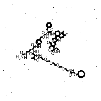 CC[C@@]1(O)C(=O)OCc2c1cc1n(c2=O)Cc2c-1nc1cc(F)c(C)c3c1c2[C@@H](NC(=O)[C@H](Cc1ccccc1)NC(=O)OCc1ccc(NC(=O)[C@H](CCCNC(N)=O)NC(=O)[C@@H](NC(=O)CCOCCOCCOCCOCCNC(=O)COC2C#CCCCCC2)C(C)C)cc1)CC3